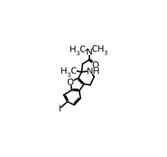 CN(C)C(=O)CC1(C)NCCc2c1oc1cc(I)ccc21